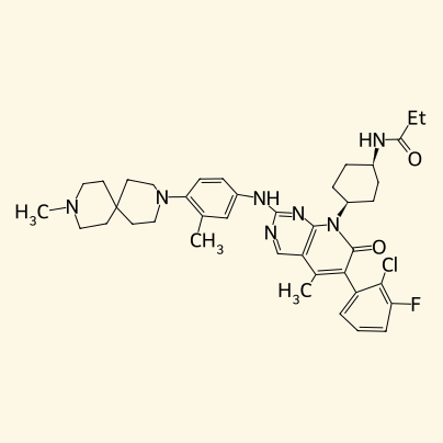 CCC(=O)N[C@H]1CC[C@@H](n2c(=O)c(-c3cccc(F)c3Cl)c(C)c3cnc(Nc4ccc(N5CCC6(CCN(C)CC6)CC5)c(C)c4)nc32)CC1